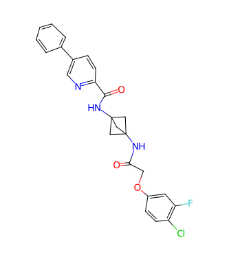 O=C(COc1ccc(Cl)c(F)c1)NC12CC(NC(=O)c3ccc(-c4ccccc4)cn3)(C1)C2